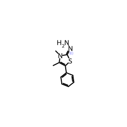 Cc1c(-c2ccccc2)s/c(=N/N)n1C